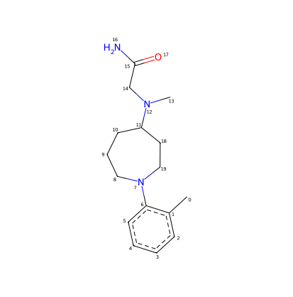 Cc1ccccc1N1CCCC(N(C)CC(N)=O)CC1